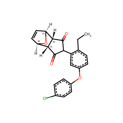 CCc1ccc(Oc2ccc(Cl)cc2)cc1C1C(=O)[C@@H]2[C@H](C1=O)[C@H]1C=C[C@@H]2O1